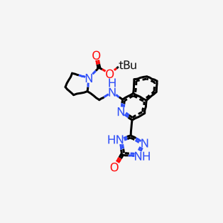 CC(C)(C)OC(=O)N1CCCC1CNc1nc(-c2n[nH]c(=O)[nH]2)cc2ccccc12